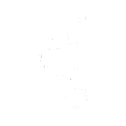 C=CC[C@@H](C[C@@]1(OCCO)C/C1=N/O)OC(=O)c1ccccc1